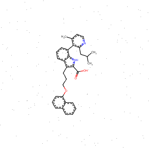 Cc1ccnc(CC(C)C)c1-c1cccc2c(CCCOc3cccc4ccccc34)c(C(=O)O)[nH]c12